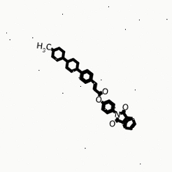 CC1CCC(C2CCC(c3ccc(/C=C/C(=O)Oc4ccc(N5C(=O)C6C7C=CC(CC7)C6C5=O)cc4)cc3)CC2)CC1